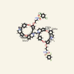 COc1cc2c3cc1Oc1c(OC)c(OC)cc4c1[C@@H](Cc1ccc(OCCCNS(=O)(=O)c5ccc(F)cc5F)c(c1)Oc1ccc(cc1)C[C@@H]3N(CCN1CCc3cc(OC)c(OC)c5c3[C@H]1Cc1ccc(OCCCNS(=O)(=O)c3cc(Cl)ccc3Cl)c(c1)Oc1ccc(cc1)C[C@H]1c3cc(c(OC)cc3CCN1C)O5)CC2)N(C)CC4